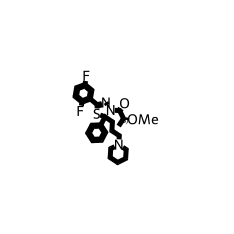 CO[C@@H](C)C(=O)N1N=C(c2cc(F)ccc2F)SC1(CCCN1CCCCC1)c1ccccc1